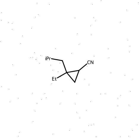 CCC1(CC(C)C)CC1C#N